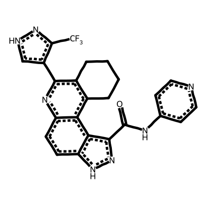 O=C(Nc1ccncc1)c1n[nH]c2ccc3nc(-c4c[nH]nc4C(F)(F)F)c4c(c3c12)CCCC4